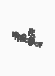 O=C(NCc1ccncc1)Nc1ccc(S(=O)(=O)N(Cc2ccc(F)cc2)Cc2ccc(C(F)(F)F)cc2)cc1